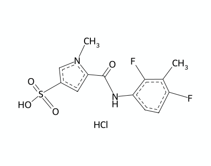 Cc1c(F)ccc(NC(=O)c2cc(S(=O)(=O)O)cn2C)c1F.Cl